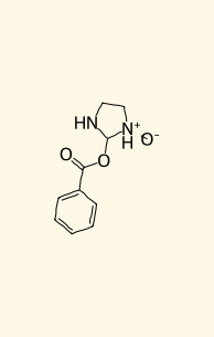 O=C(OC1NCC[NH+]1[O-])c1ccccc1